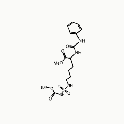 COC(=O)C(CCCCNS(=O)(=O)NC(=O)OC(C)(C)C)NC(=O)Nc1ccccc1